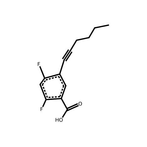 CCCCC#Cc1cc(C(=O)O)c(F)cc1F